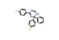 Fc1ccc(C2=NC(c3ccccc3)(c3ccc(F)cc3)NC=N2)cc1